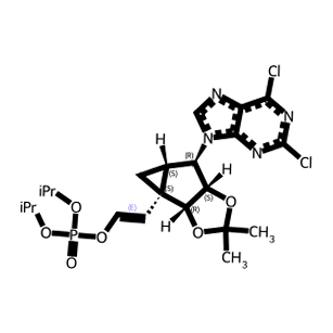 CC(C)OP(=O)(O/C=C/[C@]12C[C@@H]1[C@@H](n1cnc3c(Cl)nc(Cl)nc31)[C@@H]1OC(C)(C)O[C@@H]12)OC(C)C